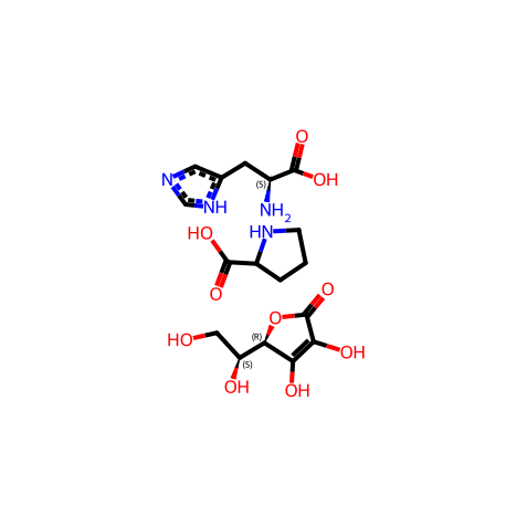 N[C@@H](Cc1cnc[nH]1)C(=O)O.O=C(O)C1CCCN1.O=C1O[C@H]([C@@H](O)CO)C(O)=C1O